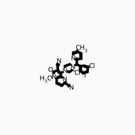 Cc1ccc(C(c2cccc(Cl)c2)N2CCN(c3c(C#N)c(=O)n(C)c4ccc(C#N)nc34)C[C@H]2C)nc1